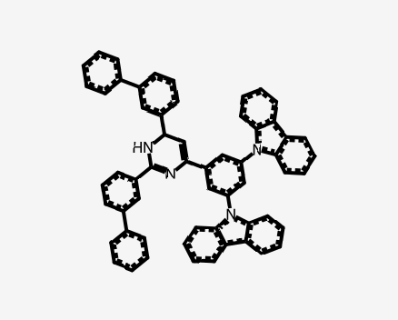 C1=C(c2cc(-n3c4ccccc4c4ccccc43)cc(-n3c4ccccc4c4ccccc43)c2)N=C(c2cccc(-c3ccccc3)c2)NC1c1cccc(-c2ccccc2)c1